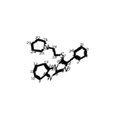 c1ccc(-c2nc3nc4cccccc4n3c2SCCN2CCCCC2)cc1